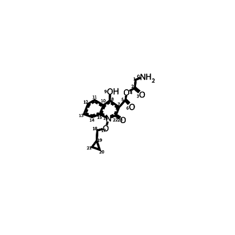 NCC(=O)OC(=O)c1c(O)c2ccccc2n(OCC2CC2)c1=O